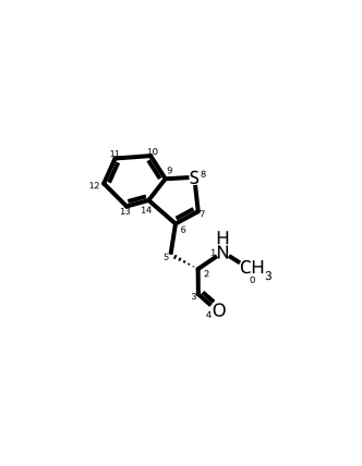 CN[C@H](C=O)Cc1csc2ccccc12